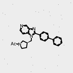 CC(=O)N1CC[C@H](Cn2c(-c3ccc(-c4ccccc4)cc3)nc3cnccc32)C1